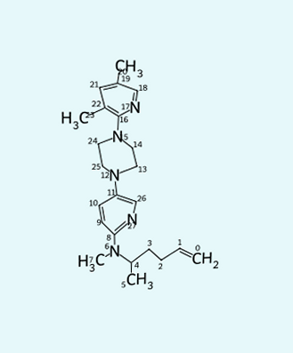 C=CCCC(C)N(C)c1ccc(N2CCN(c3ncc(C)cc3C)CC2)cn1